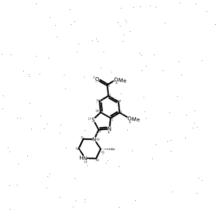 COC(=O)c1cc(OC)c2nc(N3CCNC[C@H]3C)sc2c1